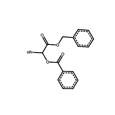 CCCC(OC(=O)c1ccccc1)C(=O)OCc1ccccc1